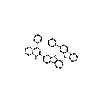 C1=CC2=C(c3ccccc3)N=C(c3ccc4c(c3)oc3c([C@H]5c6ccccc6-c6ccc(-c7ccccc7)cc65)cccc34)NC2C=C1